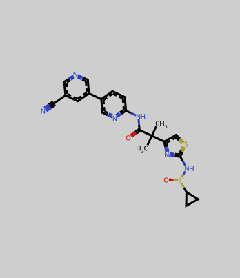 CC(C)(C(=O)Nc1ccc(-c2cncc(C#N)c2)cn1)c1csc(N[S+]([O-])C2CC2)n1